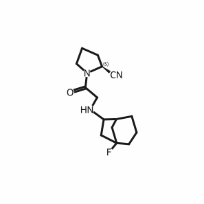 N#C[C@@H]1CCCN1C(=O)CNC1CC2(F)CCCC1C2